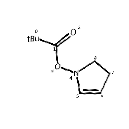 CC(C)(C)C(=O)ON1C=CCC1